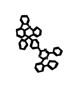 c1ccc(-c2nc(-c3ccc(C4(c5ccccc5)c5ccccc5-n5c6ccccc6c6cccc4c65)cc3)nc(-c3ccccc3-c3ccccc3)n2)cc1